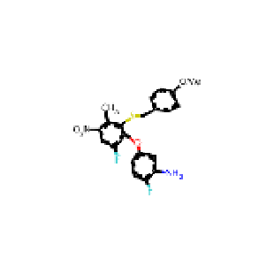 COc1ccc(CSc2c(C)c([N+](=O)[O-])cc(F)c2Oc2ccc(F)c(N)c2)cc1